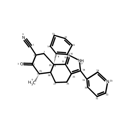 C[C@@H]1C(=O)C(C#N)C[C@@]2(c3ccccc3)c3n[nH]c(-c4cccnc4)c3CCC12